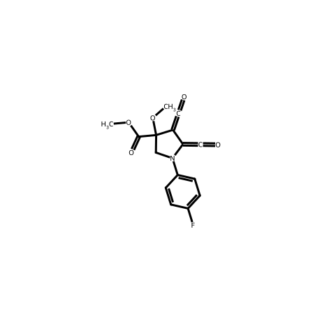 COC(=O)C1(OC)CN(c2ccc(F)cc2)C(=C=O)C1=C=O